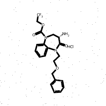 Cl.N[C@H]1CN(C(=O)OCC(F)(F)F)c2ccccc2N(CCOCc2ccccc2)C1=O